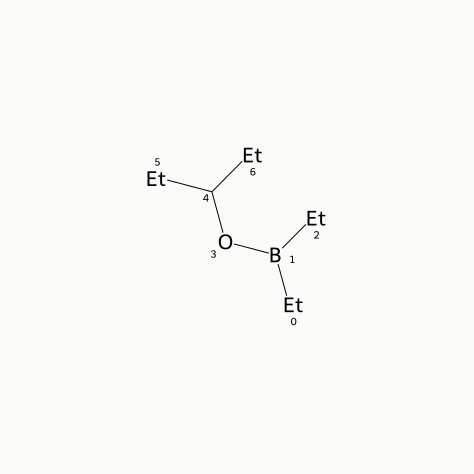 CCB(CC)OC(CC)CC